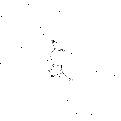 NC(=O)Cc1n[nH]c(S)n1